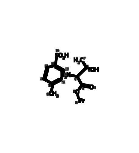 CC(C)OC(=O)C(N)C(C)O.Cc1ccc(S(=O)(=O)O)cc1